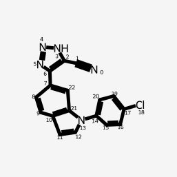 N#Cc1[nH]nnc1-c1ccc2ccn(-c3ccc(Cl)cc3)c2c1